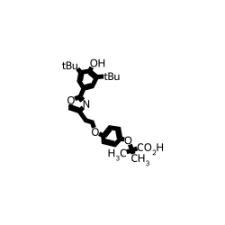 CC(C)(Oc1ccc(OCCc2coc(-c3cc(C(C)(C)C)c(O)c(C(C)(C)C)c3)n2)cc1)C(=O)O